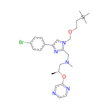 C[C@@H](CN(C)Cc1nc(-c2ccc(Br)cc2)cn1COCC[Si](C)(C)C)Oc1cnccn1